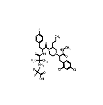 CCCC1CN(C(Cc2ccc(Cl)cc2Cl)C(=O)NC)CCN1C(=O)C(Cc1ccc(F)cc1)NC(=O)C(C)(C)N.O=C(O)C(F)(F)F